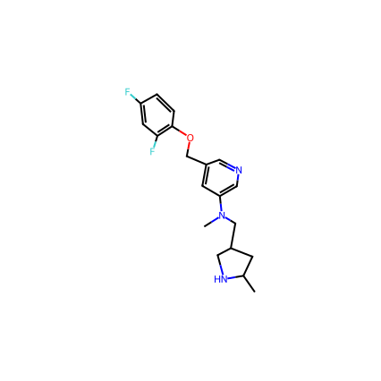 CC1CC(CN(C)c2cncc(COc3ccc(F)cc3F)c2)CN1